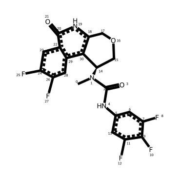 CN(C(=O)Nc1cc(F)c(F)c(F)c1)[C@@H]1COCc2[nH]c(=O)c3cc(F)c(F)cc3c21